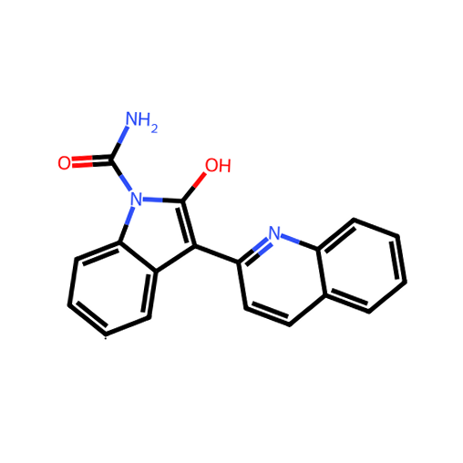 NC(=O)n1c(O)c(-c2ccc3ccccc3n2)c2c[c]ccc21